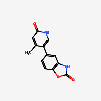 Cc1cc(=O)[nH]cc1-c1ccc2oc(=O)[nH]c2c1